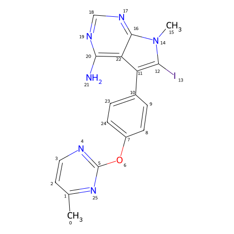 Cc1ccnc(Oc2ccc(-c3c(I)n(C)c4ncnc(N)c34)cc2)n1